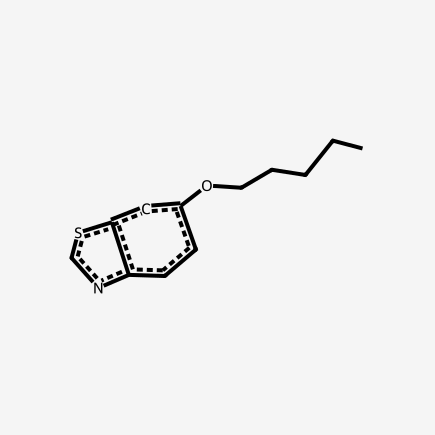 CCCCCOc1ccc2ncsc2c1